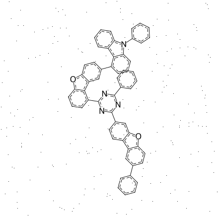 c1ccc(-c2ccc3oc4cc(-c5nc(-c6ccccc6)nc(-c6cccc7oc8ccc(-c9cccc%10c9c9ccccc9n%10-c9ccccc9)cc8c67)n5)ccc4c3c2)cc1